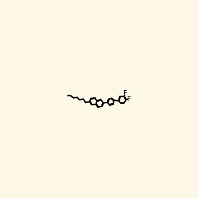 CCCCCCCc1ccc2cc(-c3ccc(-c4ccc(F)c(F)c4)cc3)ccc2c1